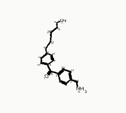 NCc1ccc(C(=O)c2ccc(CCCCCO)cc2)cc1